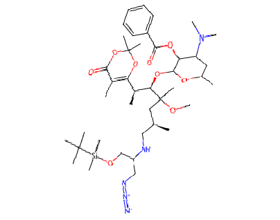 COC(C)(C[C@@H](C)CNC(CN=[N+]=[N-])CO[Si](C)(C)C(C)(C)C)[C@H](OC1OC(C)CC(N(C)C)C1OC(=O)c1ccccc1)[C@@H](C)C1=C(C)C(=O)OC(C)(C)O1